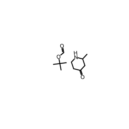 CC(C)(C)OC=O.CC1CC(=O)CCN1